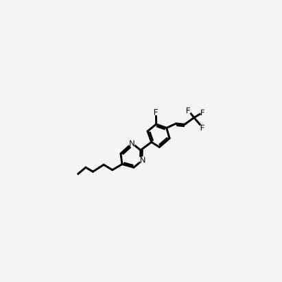 CCCCCc1cnc(-c2ccc(/C=C/C(F)(F)F)c(F)c2)nc1